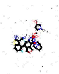 C[C@@H](O)CN1CC2CCC(C1)N2c1nc(OC[C@@H]2C[C@@H](O)CN2C)nc2c(F)c(-c3c(F)ccc4sc(N)c(C#N)c34)c3c(c12)COC3